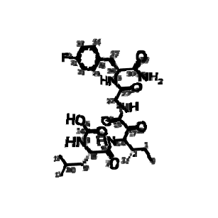 CC[C@H](C)C(NC(=O)[C@H](CC(C)C)NC(=O)O)C(=O)C(=O)NCC(=O)N[C@@H](Cc1ccc(F)cc1)C(N)=O